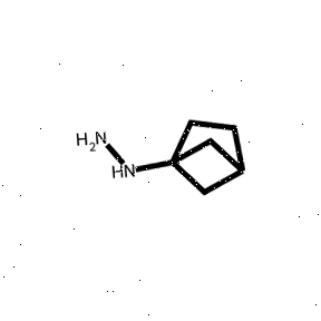 NNC12CCC(C1)C2